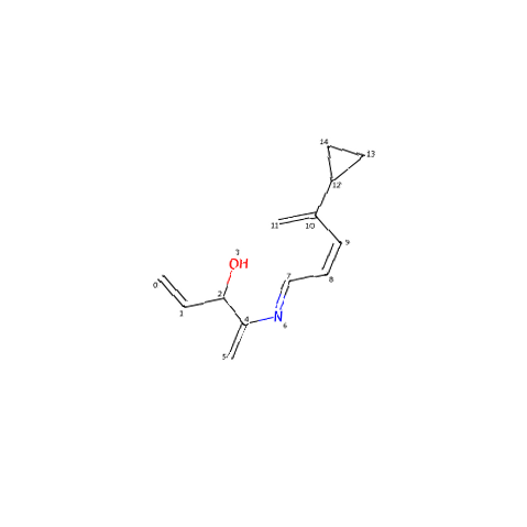 C=CC(O)C(=C)/N=C/C=C\C(=C)C1CC1